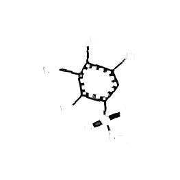 CC(C)c1c(Br)cc(S(N)(=O)=O)c(C(C)C)c1C#N